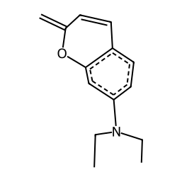 C=C1C=Cc2ccc(N(CC)CC)cc2O1